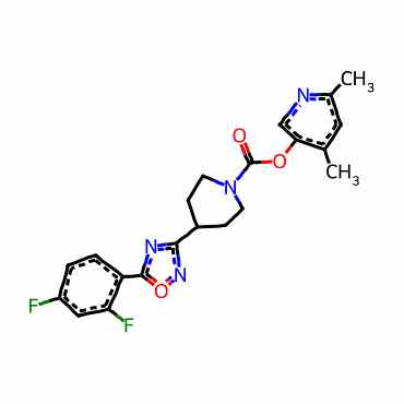 Cc1cc(C)c(OC(=O)N2CCC(c3noc(-c4ccc(F)cc4F)n3)CC2)cn1